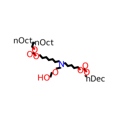 CCCCCCCCCCCOC(=O)OCCCCCN(CCCCCCCOC(=O)OCC(CCCCCCCC)CCCCCCCC)CCOCCO